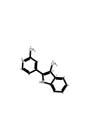 Cc1cc(-c2[nH]c3ccccc3c2C)ccn1